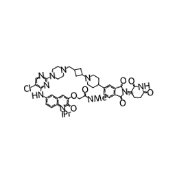 CNC(=O)COc1cc2cc(Nc3nc(N4CCN(CC5CC(N6CCC(c7ccc8c(c7)C(=O)N([C@@H]7CCC(=O)NC7=O)C8=O)CC6)C5)CC4)ncc3Cl)ccc2n(C(C)C)c1=O